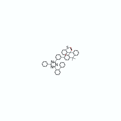 CC1(C)c2ccccc2C2(c3ccccc3Sc3ccccc32)c2cc(-c3cccc(-c4nc(-c5ccccc5)nc(-c5ccccc5-c5ccccc5)n4)c3)ccc21